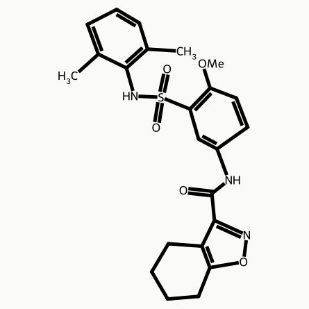 COc1ccc(NC(=O)c2noc3c2CCCC3)cc1S(=O)(=O)Nc1c(C)cccc1C